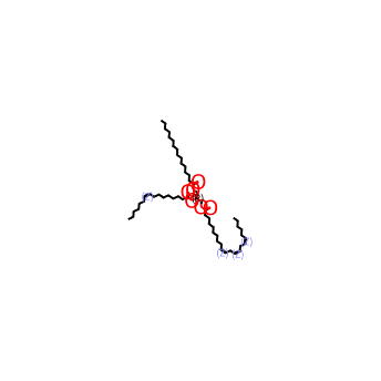 CCCCC/C=C\C/C=C\C/C=C\CCCCCCCCC(=O)OC[C@@H](COC(=O)CCCCCCCCCCCCCCC)OC(=O)CCCCCCC/C=C\CCCCCC